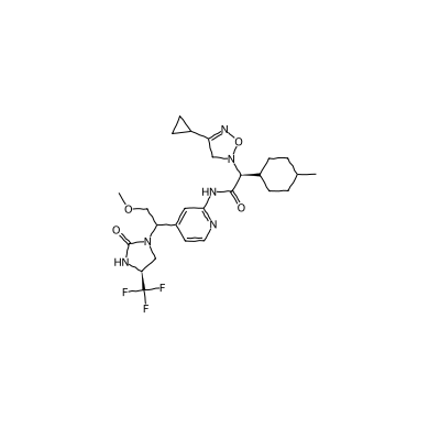 COCC(c1ccnc(NC(=O)[C@H](C2CCC(C)CC2)N2CC(C3CC3)=NO2)c1)N1C[C@@H](C(F)(F)F)NC1=O